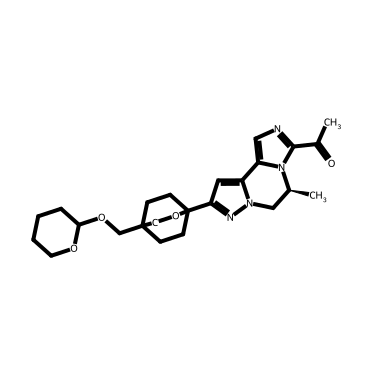 CC(=O)c1ncc2n1[C@@H](C)Cn1nc(C34CCC(COC5CCCCO5)(CC3)CO4)cc1-2